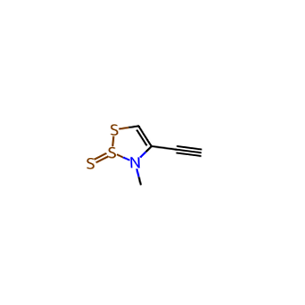 C#CC1=CSS(=S)N1C